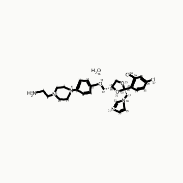 NCCN1CCN(c2ccc(OC[C@@H]3CO[C@@](Cn4ccnc4)(c4ccc(Cl)cc4Cl)O3)cc2)CC1.O